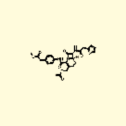 COC(=O)Cc1ccc(NC(=O)C2=C(COC(C)=O)CS[C@@H]3[C@H](NC(=O)Cc4cccs4)C(=O)N23)cc1